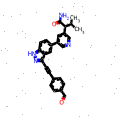 CC(C)C(C(N)=O)c1cncc(-c2ccc3[nH]nc(C#Cc4ccc(C=O)cc4)c3c2)c1